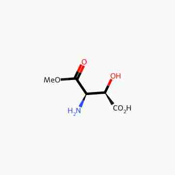 COC(=O)[C@H](N)[C@@H](O)C(=O)O